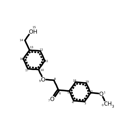 COc1ccc(C(=O)COc2ccc(CO)cc2)cc1